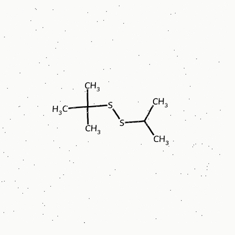 CC(C)SSC(C)(C)C